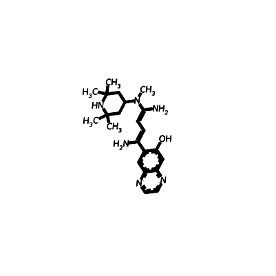 CN(/C(N)=C/C=C(\N)c1cc2nccnc2cc1O)C1CC(C)(C)NC(C)(C)C1